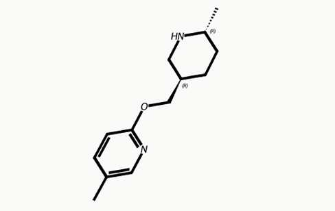 Cc1ccc(OC[C@@H]2CC[C@@H](C)NC2)nc1